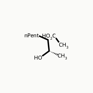 CC(=O)O.CCCCCC[C@H](C)O